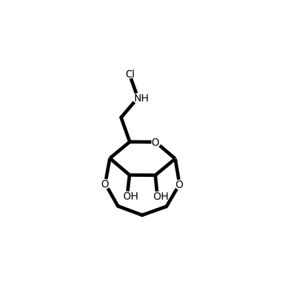 OC1C2OCCCOC(C(CNCl)O2)C1O